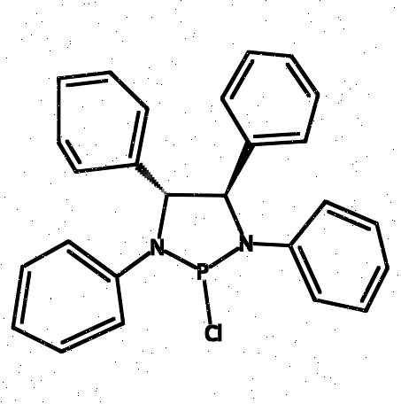 ClP1N(c2ccccc2)[C@H](c2ccccc2)[C@@H](c2ccccc2)N1c1ccccc1